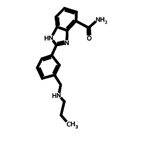 CCCNCc1cccc(-c2nc3c(C(N)=O)cccc3[nH]2)c1